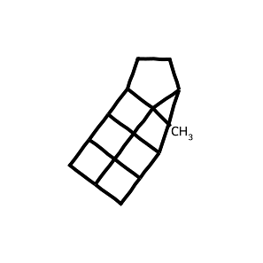 CC12C3CCC1C1C4CC5CC6C3C12C564